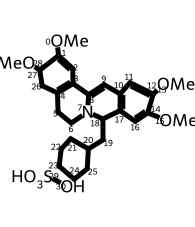 COC1=CC2=C(CCN3C2=Cc2cc(OC)c(OC)cc2C3CC2CCCCC2)CC1OC.O=S(=O)(O)O